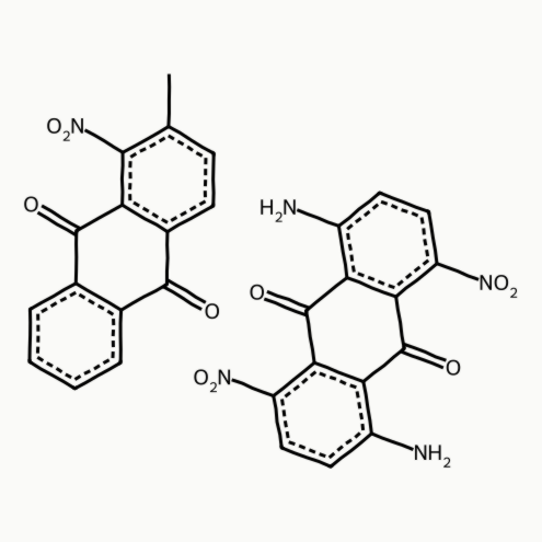 Cc1ccc2c(c1[N+](=O)[O-])C(=O)c1ccccc1C2=O.Nc1ccc([N+](=O)[O-])c2c1C(=O)c1c([N+](=O)[O-])ccc(N)c1C2=O